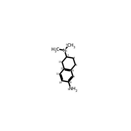 CN(C)C1CCc2cc(N)ccc2C1